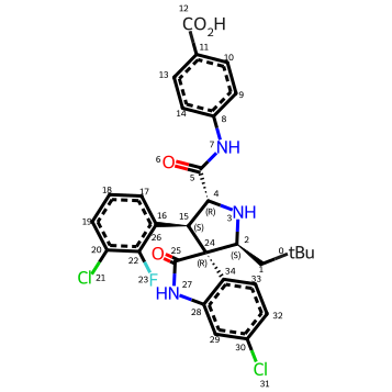 CC(C)(C)C[C@@H]1N[C@@H](C(=O)Nc2ccc(C(=O)O)cc2)[C@H](c2cccc(Cl)c2F)[C@]12C(=O)Nc1cc(Cl)ccc12